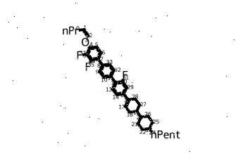 CCC/C=C\Oc1ccc(-c2ccc(-c3ccc(C4=CCC(C5CCC(CCCCC)CC5)CC4)cc3F)cc2)c(F)c1F